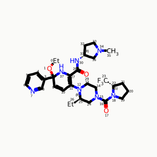 CCOC1(c2cccnc2)C=CC(N2CCN(C(=O)N3CCC[C@H]3C(F)(F)F)C[C@H]2CC)=C(C(=O)N[C@@H]2CCN(C)C2)N1